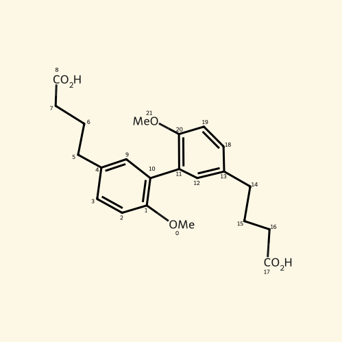 COc1ccc(CCCC(=O)O)cc1-c1cc(CCCC(=O)O)ccc1OC